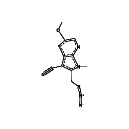 COc1cnc2c(c1)c(C#N)c(CN=[N+]=[N-])n2C